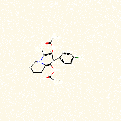 COC(=O)OC1=C(C)N2CCCCC2=C(OC(=O)OC)C1c1ccc(Cl)cc1